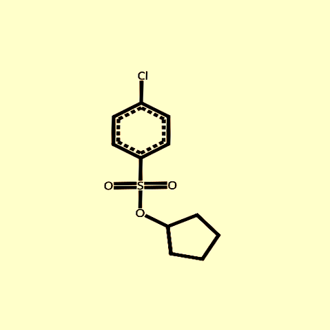 O=S(=O)(OC1CCCC1)c1ccc(Cl)cc1